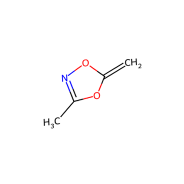 C=C1ON=C(C)O1